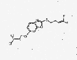 FC(F)=CCCSc1nc2ccc(OCC=C(Cl)Cl)cc2o1